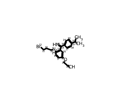 C#CCOc1ccc(NCCCBr)c(C(=N)c2ccc(C(C)C)cc2)c1